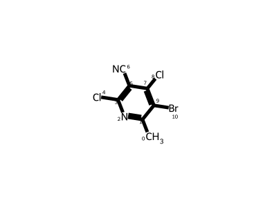 Cc1nc(Cl)c(C#N)c(Cl)c1Br